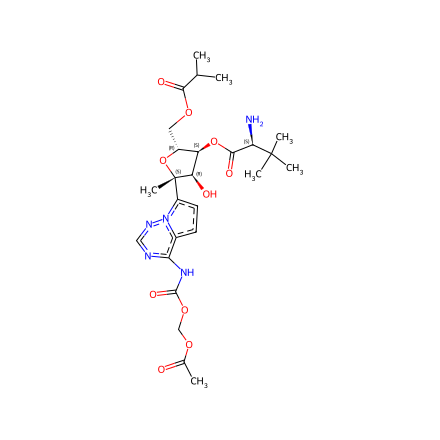 CC(=O)OCOC(=O)Nc1ncnn2c([C@]3(C)O[C@H](COC(=O)C(C)C)[C@@H](OC(=O)[C@@H](N)C(C)(C)C)[C@H]3O)ccc12